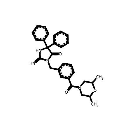 CC1CN(C(=O)c2cccc(CN3C(=N)NC(c4ccccc4)(c4ccccc4)C3=O)c2)CC(C)O1